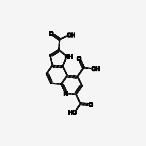 O=C(O)c1cc(C(=O)O)c2c(ccc3cc(C(=O)O)[nH]c32)n1